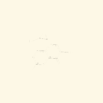 CCC1CO1.CCCc1coc2ccc(I)cc2c1=O